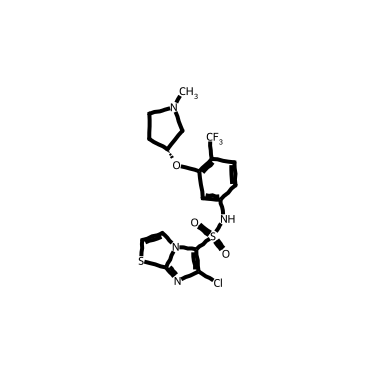 CN1CC[C@@H](Oc2cc(NS(=O)(=O)c3c(Cl)nc4sccn34)ccc2C(F)(F)F)C1